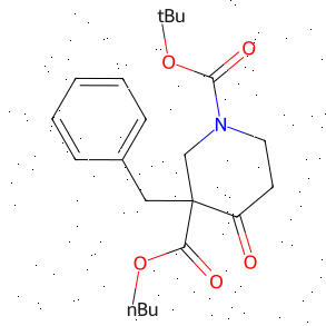 CCCCOC(=O)C1(Cc2ccccc2)CN(C(=O)OC(C)(C)C)CCC1=O